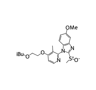 CCC(C)OCCOc1ccnc(-n2c([S+](C)[O-])nc3cc(OC)ccc32)c1C